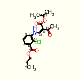 CCCOC(=O)c1cccc(NC=C(C(C)=O)C(=O)OC(C)C)c1Cl